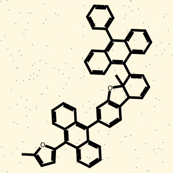 Cc1ccc(-c2c3ccccc3c(-c3ccc4c(c3)OC3(C)C(c5c6ccccc6c(-c6ccccc6)c6ccccc56)=CC=CC43)c3ccccc23)o1